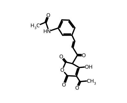 CC(=O)Nc1cccc(C=CC(=O)C2C(=O)OC(=O)C(C(C)=O)=C2O)c1